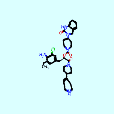 CCc1cc(C[C@@H](OC(=O)N2CCC(N3Cc4ccccc4NC3=O)CC2)C(=O)N2CCC(C3CCNCC3)CC2)cc(Cl)c1N